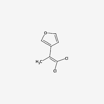 CC(=C(Cl)Cl)c1ccoc1